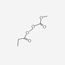 CCC(=O)OCOC(=O)OC